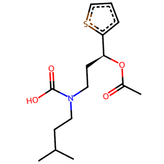 CC(=O)O[C@@H](CCN(CCC(C)C)C(=O)O)c1cccs1